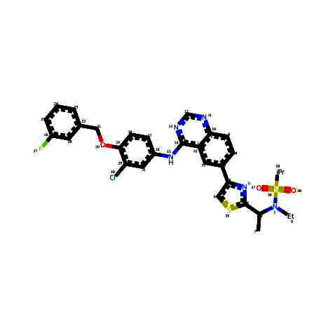 CCN(C(C)c1nc(-c2ccc3ncnc(Nc4ccc(OCc5cccc(F)c5)c(Cl)c4)c3c2)cs1)S(=O)(=O)C(C)C